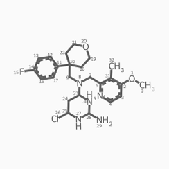 COc1ccnc(CN(CC2(c3ccc(F)cc3)CCOCC2)C2CC(Cl)NC(N)N2)c1C